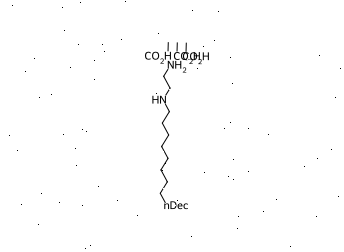 CC(=O)O.CC(=O)O.CC(=O)O.CCCCCCCCCCCCCCCCCCNCCN